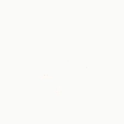 CCC1CC(CC)C2C3CC(CC3C(=O)OC3CCCCC3)C12